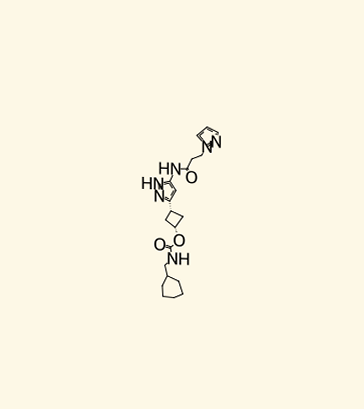 O=C(CCn1cccn1)Nc1cc([C@H]2C[C@@H](OC(=O)NCC3CCCCC3)C2)n[nH]1